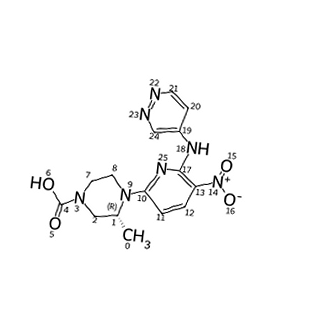 C[C@@H]1CN(C(=O)O)CCN1c1ccc([N+](=O)[O-])c(Nc2ccnnc2)n1